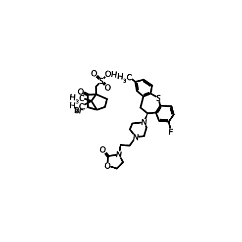 CC1(C)C2CCC1(CS(=O)(=O)O)C(=O)[C@H]2Br.Cc1ccc2c(c1)C[C@H](N1CCN(CCN3CCOC3=O)CC1)c1cc(F)ccc1S2